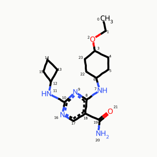 CCOC1CCC(Nc2nc(NC3CCC3)ncc2C(N)=O)CC1